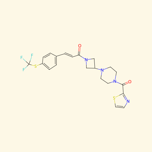 O=C(/C=C/c1ccc(SC(F)(F)F)cc1)N1CC(N2CCN(C(=O)c3nccs3)CC2)C1